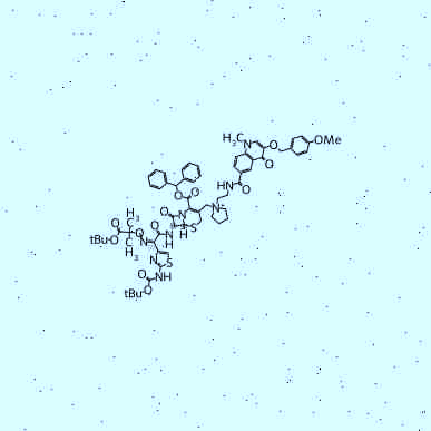 COc1ccc(COc2cn(C)c3ccc(C(=O)NCC[N+]4(CC5=C(C(=O)OC(c6ccccc6)c6ccccc6)N6C(=O)[C@@H](NC(=O)/C(=N\OC(C)(C)C(=O)OC(C)(C)C)c7csc(NC(=O)OC(C)(C)C)n7)[C@H]6SC5)CCCC4)cc3c2=O)cc1